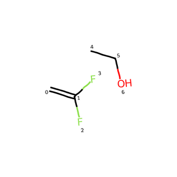 C=C(F)F.CCO